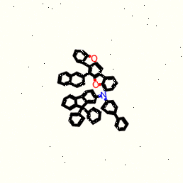 c1ccc(-c2ccc(N(c3ccc4c(c3)C(c3ccccc3)(c3ccccc3)c3ccccc3-4)c3cccc4c3oc3c(-c5ccc6ccccc6c5)c5c(cc34)oc3ccccc35)cc2)cc1